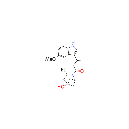 CCC1CC2(O)CC(C2)N1C(=O)CC(C)c1c[nH]c2ccc(OC)cc12